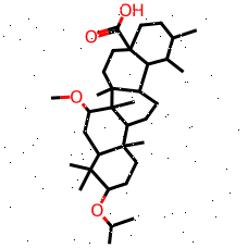 COC1CC2C(C)(C)C(OC(C)C)CCC2(C)C2CCC3C4C(C)C(C)CCC4(C(=O)O)CCC3(C)C12C